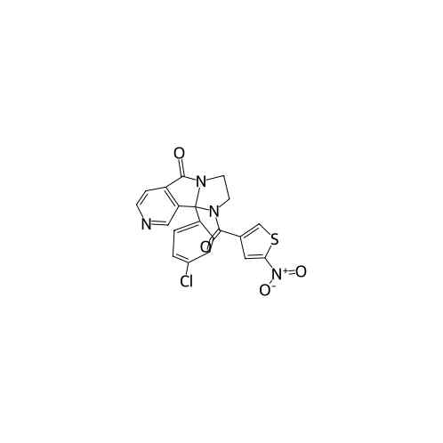 O=C(c1csc([N+](=O)[O-])c1)N1CCN2C(=O)c3ccncc3C12c1ccc(Cl)cc1